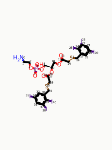 NCCOP(=O)(O)OC[C@@H](COC(=O)CSCc1cc(I)cc(I)c1I)OC(=O)CSCc1cc(I)cc(I)c1I